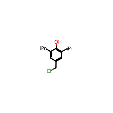 CC(C)c1cc(CCl)cc(C(C)C)c1O